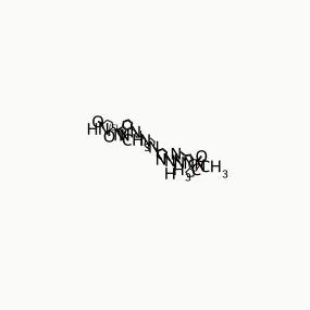 CN(C)C(=O)c1cc2cnc(Nc3ccc(N4CCN(C5CN(c6cccc7c([C@@H]8CCC(=O)NC8=O)nn(C)c67)C5)CC4)cn3)nc2n1C1CCCC1